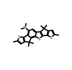 Cc1cc2c(s1)-c1sc3c4c(c(N(C)C)cc3c1C2(C)C)-c1sc(C)cc1C4(C)C